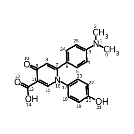 CN(C)c1ccc(-c2cc(=O)c(C(=O)O)cn2-c2ccc(O)cc2)cc1